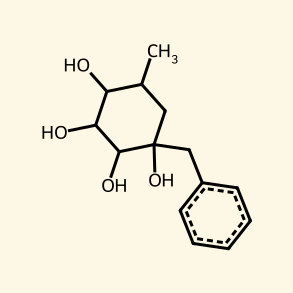 CC1CC(O)(Cc2ccccc2)C(O)C(O)C1O